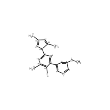 COc1cncc(-c2nc(-n3nc(C)cc3C)nc(N)c2F)c1